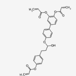 C=CC(=O)Oc1ccc(CCC(O)Oc2ccc(-c3ccc(OC(=O)C=C)c(OC(=O)C=C)c3)cc2)cc1